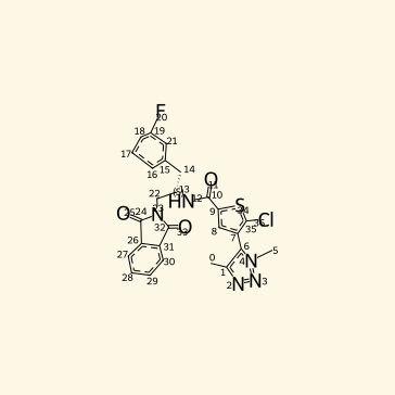 Cc1nnn(C)c1-c1cc(C(=O)N[C@@H](Cc2cccc(F)c2)CN2C(=O)c3ccccc3C2=O)sc1Cl